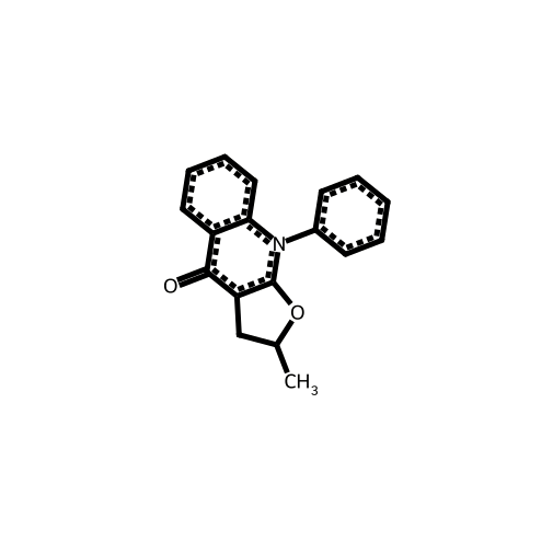 CC1Cc2c(n(-c3ccccc3)c3ccccc3c2=O)O1